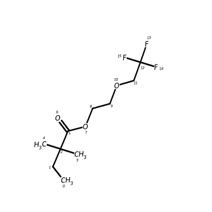 CCC(C)(C)C(=O)OCCOCC(F)(F)F